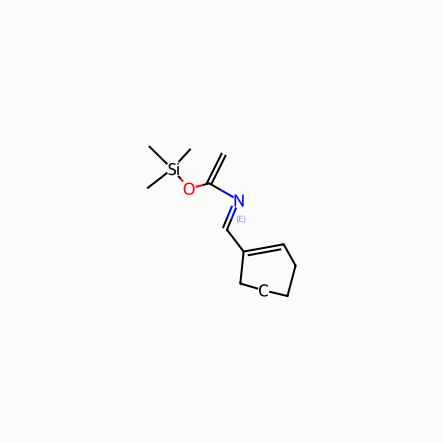 C=C(/N=C/C1=CCCCC1)O[Si](C)(C)C